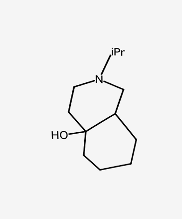 CC(C)N1CCC2(O)CCCCC2C1